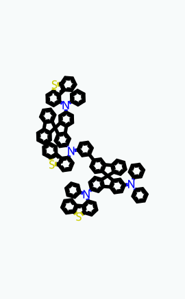 c1ccc(N(c2ccccc2)c2ccc3c(c2)C2(c4ccccc4-c4cc(-c5cccc(N(c6ccc7c(c6)-c6ccc(N(c8ccccc8)c8cccc9sc%10ccccc%10c89)cc6C76c7ccccc7-c7ccccc76)c6cccc7sc8ccccc8c67)c5)ccc42)c2ccc(N(c4ccccc4)c4cccc5sc6ccccc6c45)cc2-3)cc1